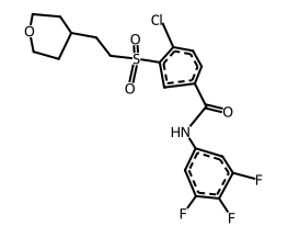 O=C(Nc1cc(F)c(F)c(F)c1)c1ccc(Cl)c(S(=O)(=O)CCC2CCOCC2)c1